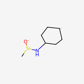 C[S+]([O-])NC1CC[CH]CC1